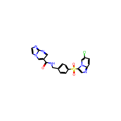 O=C(NCc1ccc(S(=O)(=O)c2cnc3ccc(Cl)cn23)cc1)c1cnc2nccn2c1